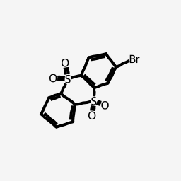 O=S1(=O)c2ccccc2S(=O)(=O)c2cc(Br)ccc21